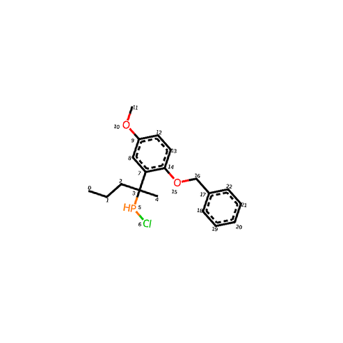 CCCC(C)(PCl)c1cc(OC)ccc1OCc1ccccc1